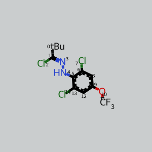 CC(C)(C)C(Cl)=NNc1c(Cl)cc(OC(F)(F)F)cc1Cl